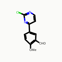 COc1ccc(-c2ccnc(Cl)n2)cc1C=O